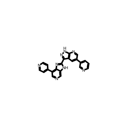 c1cncc(-c2cnc3[nH]nc(-c4nc5c(-c6ccncc6)cncc5[nH]4)c3c2)c1